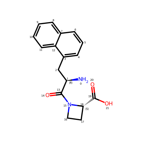 N[C@H](Cc1cccc2ccccc12)C(=O)N1CC[C@H]1C(=O)O